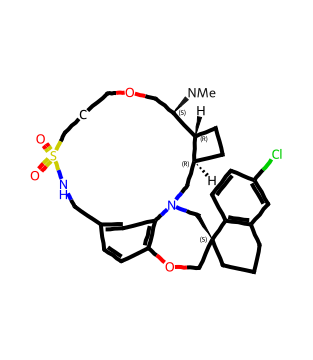 CN[C@@H]1COCCCS(=O)(=O)NCc2ccc3c(c2)N(C[C@@H]2CC[C@H]21)C[C@@]1(CCCc2cc(Cl)ccc21)CO3